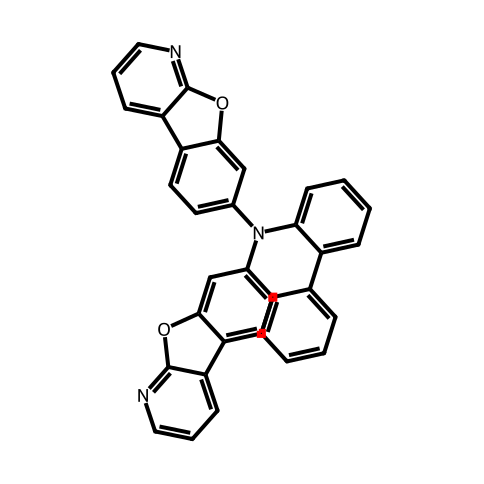 c1ccc(-c2ccccc2N(c2ccc3c(c2)oc2ncccc23)c2ccc3c(c2)oc2ncccc23)cc1